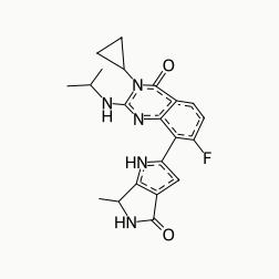 CC(C)Nc1nc2c(-c3cc4c([nH]3)C(C)NC4=O)c(F)ccc2c(=O)n1C1CC1